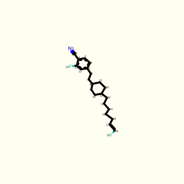 N#Cc1ccc(CCC2CCC(CCCCCC=CF)CC2)cc1F